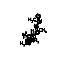 CCc1c(-c2cn(-c3cc(C(=O)Nc4cc(C(F)(F)F)cc(NS(C)(=O)=O)c4OC)ccc3C)cn2)cnn1-c1ccccc1